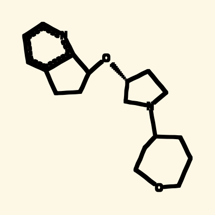 c1cnc2c(c1)CCC2O[C@@H]1CCN(C2CCCOCC2)C1